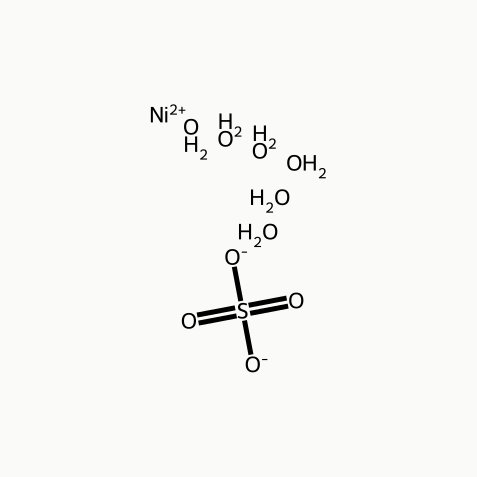 O.O.O.O.O.O.O=S(=O)([O-])[O-].[Ni+2]